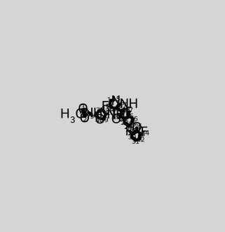 CS(=O)(=O)NC[C@@H]1CC[C@@H](Nc2c(F)cnc3[nH]cc(C(=O)c4ccc(Oc5c(F)cccc5F)cc4F)c23)CO1